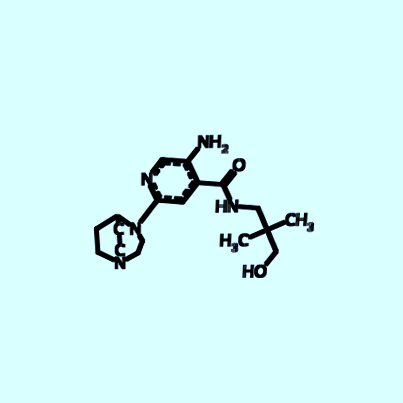 CC(C)(CO)CNC(=O)c1cc(N2CCN3CCC2CC3)ncc1N